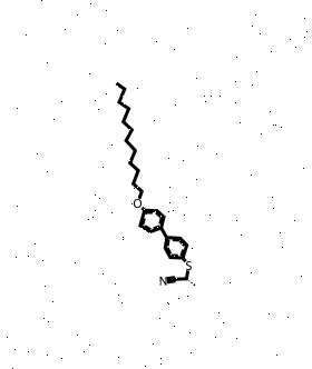 CCCCCCCCCCCCOc1ccc(-c2ccc(S[C@H](C)C#N)cc2)cc1